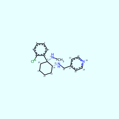 CN[C@@]1(c2ccccc2Cl)CCCC[C@H]1NCc1ccncc1